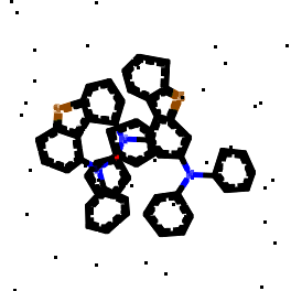 c1ccc(N(c2ccccc2)c2cc(N(c3ccccc3)c3cccc4sc5cccc(N(c6ccccc6)c6ccccc6)c5c34)c3c(c2)sc2ccccc23)cc1